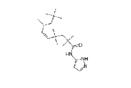 CC(/C=C\C(C)(C)CC(C)(C)C(=O)Nc1ccn[nH]1)CC(C)(C)C